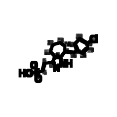 O=S(=O)(O)/C=C/c1n[nH]c2c1CCCC/C2=C\c1ccc(Cl)cc1